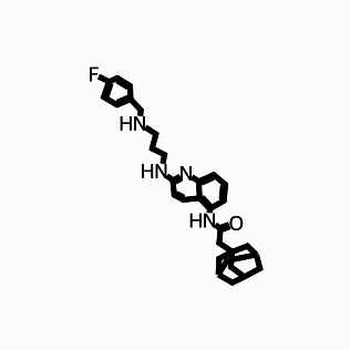 O=C(CC12CC3CC(CC(C3)C1)C2)Nc1cccc2nc(NCCCNCc3ccc(F)cc3)ccc12